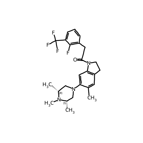 Cc1cc2c(cc1N1C[C@@H](C)N(C)[C@@H](C)C1)N(C(=O)Cc1cccc(C(F)(F)F)c1F)CC2